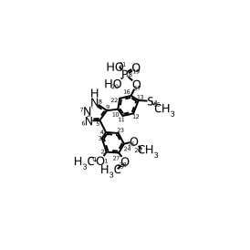 COc1cc(-c2nn[nH]c2-c2ccc(SC)c(OP(=O)(O)O)c2)cc(OC)c1OC